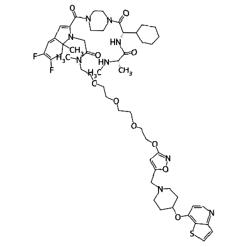 CN[C@@H](C)C(=O)N[C@H](C(=O)N1CCN(C(=O)C2=CC3=CC(F)=C(F)CC3(C)N2CC(=O)N(C)CCOCCOCCOCCOc2cc(CN3CCC(Oc4ccnc5ccsc45)CC3)on2)CC1)C1CCCCC1